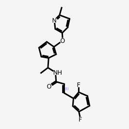 Cc1ccc(Oc2cccc(C(C)NC(=O)/C=C/c3cc(F)ccc3F)c2)cn1